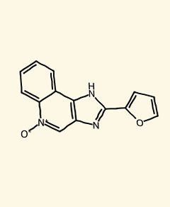 [O-][n+]1cc2nc(-c3ccco3)[nH]c2c2ccccc21